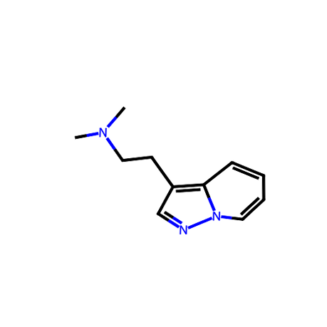 CN(C)CCc1cnn2ccccc12